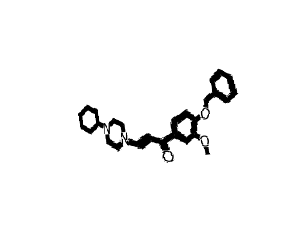 COc1cc(C(=O)C=CN2CCN(C3CCCCC3)CC2)ccc1OCc1ccccc1